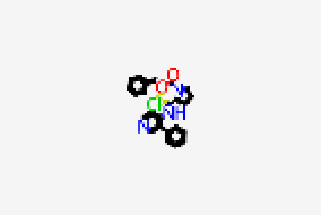 O=C(OCc1ccccc1)N1CCC[C@H]1C(=S)Nc1c(Cl)cncc1-c1ccccc1